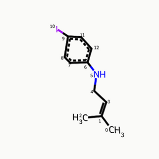 CC(C)=CCNc1ccc(I)cc1